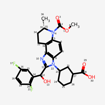 COC(=O)N1c2ccc3c(nc(C(O)c4cc(F)ccc4F)n3C3CCCC(C(=O)O)C3)c2CC[C@@H]1C